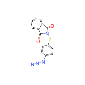 [N-]=[N+]=Nc1ccc(SN2C(=O)c3ccccc3C2=O)cc1